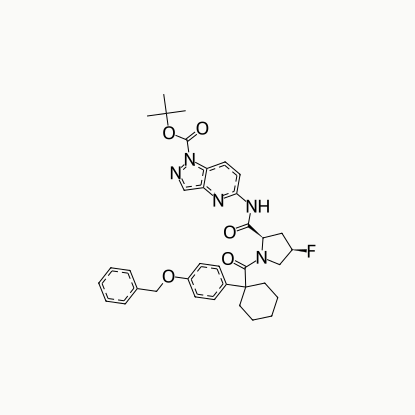 CC(C)(C)OC(=O)n1ncc2nc(NC(=O)[C@H]3C[C@@H](F)CN3C(=O)C3(c4ccc(OCc5ccccc5)cc4)CCCCC3)ccc21